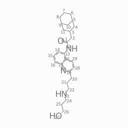 O=C(CC1CC2CCCC(C2)C1)Nc1cccc2nc(CCCNCCCO)ccc12